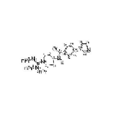 CCC/N=C(\N(CCC)CCC)N1CCC(N(C)C(=O)c2ccc(-n3ccnc3)cc2)CC1